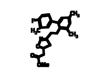 COC(=O)CC1CC(CCc2c(C)cc(C)cc2-c2ccc(F)c(C)c2)=NO1